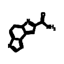 NC(=O)C1=Nc2ccc3c(c2=C1)=CC=N3